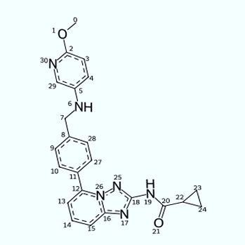 COc1ccc(NCc2ccc(-c3cccc4nc(NC(=O)C5CC5)nn34)cc2)cn1